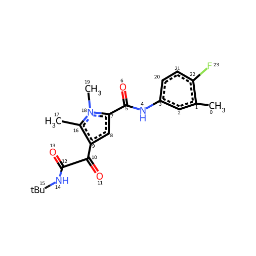 Cc1cc(NC(=O)c2cc(C(=O)C(=O)NC(C)(C)C)c(C)n2C)ccc1F